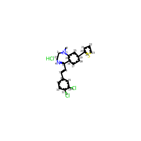 CN1CCN=C(/C=C/c2ccc(Cl)c(Cl)c2)c2ccc(-c3cccs3)cc21.Cl